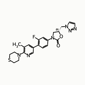 Cc1cc(-c2ccc(N3C[C@H](Cn4ccnn4)OC3=O)cc2F)cnc1N1CCSCC1